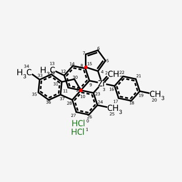 Cl.Cl.[CH2]=[Zr]([C]1=CC=CC1)([c]1ccc(C)cc1)([c]1ccc(C)cc1)[c]1c(C)ccc2c1Cc1cc(C)ccc1-2